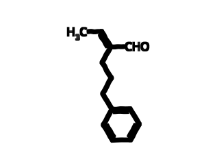 C/C=C(/C=O)CCCc1ccccc1